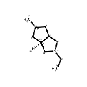 CCN1CC2C[C@H](C)C[C@@H]2C1